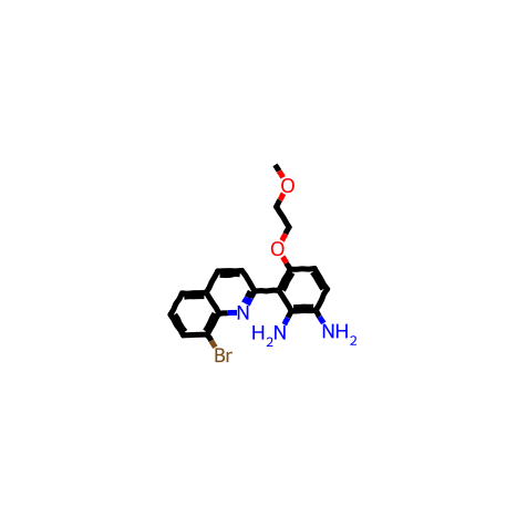 COCCOc1ccc(N)c(N)c1-c1ccc2cccc(Br)c2n1